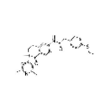 CCSc1ccc(CC(=O)Nc2cc3c(cn2)C(=O)C(C)(c2cc(C)nc(C)n2)CC3)cc1